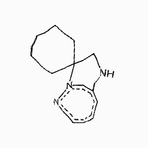 c1cc2n(n1)C1(CCCCC1)CN2